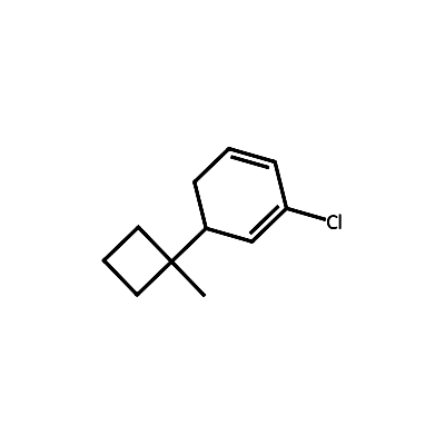 CC1(C2C=C(Cl)C=CC2)CCC1